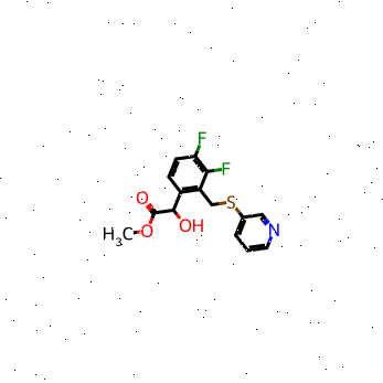 COC(=O)C(O)c1ccc(F)c(F)c1CSc1cccnc1